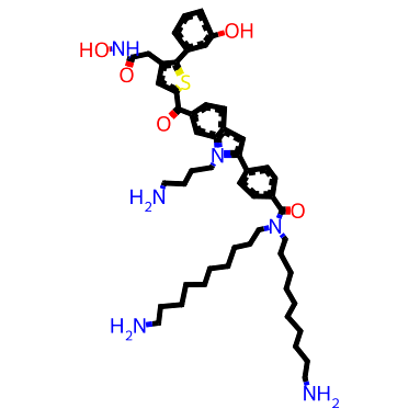 NCCCCCCCCCCN(CCCCCCCCCCN)C(=O)c1ccc(-c2cc3ccc(C(=O)c4cc(CC(=O)NO)c(-c5cccc(O)c5)s4)cc3n2CCCCN)cc1